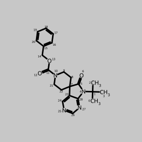 CC(C)(C)N1C(=O)C2(CCN(C(=O)OCc3ccccc3)CC2)c2cncnc21